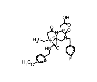 CCN1CC(=O)N2[C@@H](CC(=O)O)C(=O)N(Cc3ccc(F)cc3)C[C@@H]2N1C(=O)NCc1ccc(OC)cc1